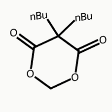 CCCCC1(CCCC)C(=O)OCOC1=O